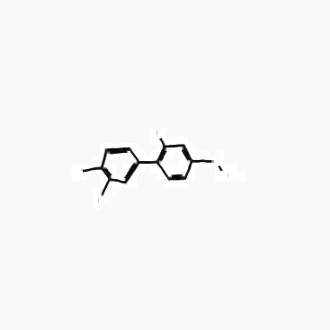 O=COc1ccc(-c2ccc(F)c(F)c2)c(F)c1